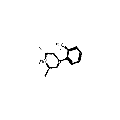 C[C@@H]1CN(c2ccccc2C(F)(F)F)C[C@@H](C)N1